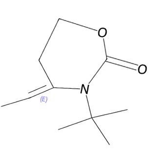 C/C=C1\CCOC(=O)N1C(C)(C)C